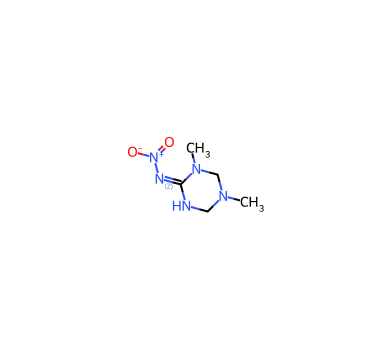 CN1CN/C(=N/[N+](=O)[O-])N(C)C1